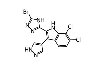 Clc1ccc2c(-c3cn[nH]c3)c(-c3nnc(Br)[nH]3)[nH]c2c1Cl